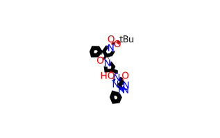 CC(C)(C)OC(=O)N1CC[C@@H](C(=O)N2CCC(O)(Cn3cnc4c(nnn4-c4ccccc4)c3=O)CC2)[C@H](c2ccccc2)C1